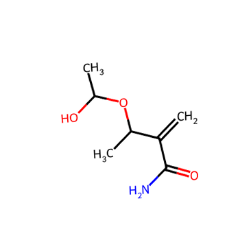 C=C(C(N)=O)C(C)OC(C)O